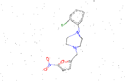 O=[N+]([O-])c1ccc(CN2CCN(c3ccccc3F)CC2)o1